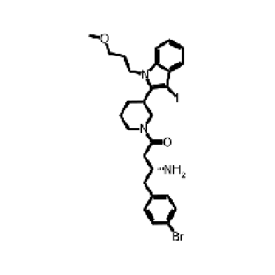 COCCCn1c(C2CCCN(C(=O)C[C@H](N)Cc3ccc(Br)cc3)C2)c(I)c2ccccc21